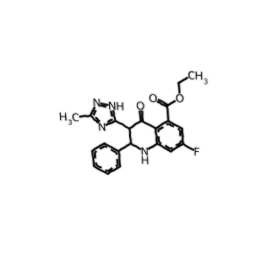 CCOC(=O)c1cc(F)cc2c1C(=O)C(c1nc(C)n[nH]1)C(c1ccccc1)N2